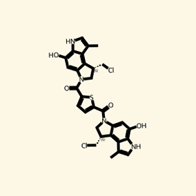 Cc1c[nH]c2c(O)cc3c(c12)[C@H](CCl)CN3C(=O)c1ccc(C(=O)N2C[C@@H](CCl)c3c2cc(O)c2[nH]cc(C)c32)s1